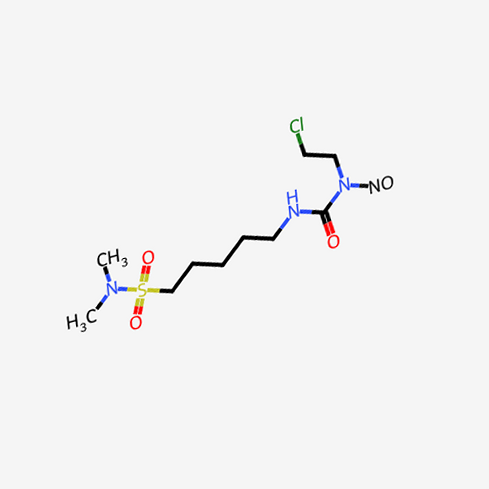 CN(C)S(=O)(=O)CCCCCNC(=O)N(CCCl)N=O